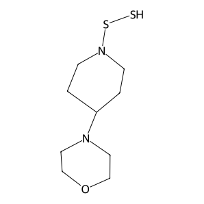 SSN1CCC(N2CCOCC2)CC1